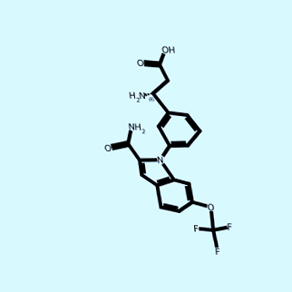 NC(=O)c1cc2ccc(OC(F)(F)F)cc2n1-c1cccc([C@H](N)CC(=O)O)c1